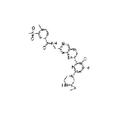 Cc1ccc(C(=O)NCc2cc3nc(-c4nc(N5CCNC6(CC6)C5)cc(F)c4Cl)ccc3cn2)cc1S(C)(=O)=O